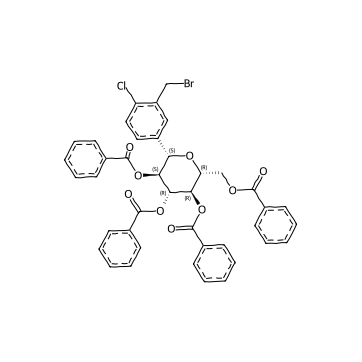 O=C(OC[C@H]1O[C@@H](c2ccc(Cl)c(CBr)c2)[C@H](OC(=O)c2ccccc2)[C@@H](OC(=O)c2ccccc2)[C@@H]1OC(=O)c1ccccc1)c1ccccc1